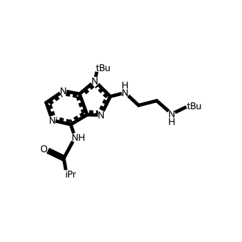 CC(C)C(=O)Nc1ncnc2c1nc(NCCNC(C)(C)C)n2C(C)(C)C